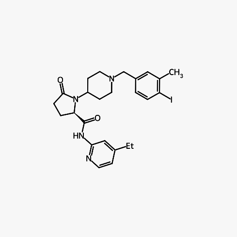 CCc1ccnc(NC(=O)[C@H]2CCC(=O)N2C2CCN(Cc3ccc(I)c(C)c3)CC2)c1